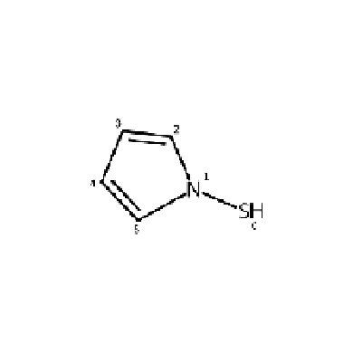 Sn1cccc1